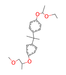 CCOC(C)Oc1ccc(C(C)(C)c2ccc(OC(C)COC)cc2)cc1